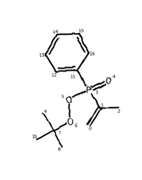 C=C(C)P(=O)(OOC(C)(C)C)c1ccccc1